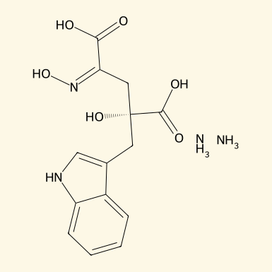 N.N.O=C(O)C(C[C@](O)(Cc1c[nH]c2ccccc12)C(=O)O)=NO